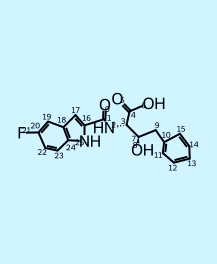 O=C(N[C@H](C(=O)O)[C@H](O)Cc1ccccc1)c1cc2cc(F)ccc2[nH]1